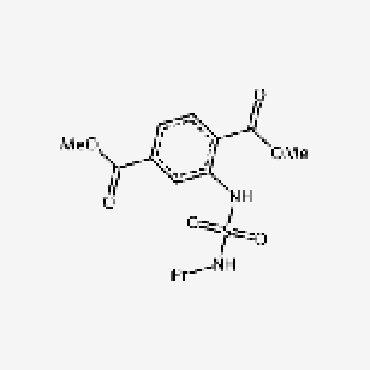 COC(=O)c1ccc(C(=O)OC)c(NS(=O)(=O)NC(C)C)c1